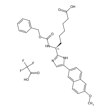 COc1ccc2cc(-c3cnc([C@H](CCCCCC(=O)O)NC(=O)OCc4ccccc4)[nH]3)ccc2c1.O=C(O)C(F)(F)F